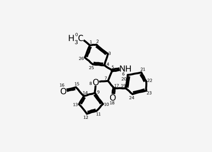 Cc1ccc(C(=N)C(Oc2ccccc2C=O)C(=O)c2ccccc2)cc1